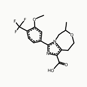 COc1cc(-c2nc(C(=O)O)c3n2CC(C)OCC3)ccc1C(F)(F)F